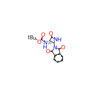 CC(C)(C)OC(=O)N[C@@H]1C(=O)NC1N1C(=O)c2ccccc2C1=O